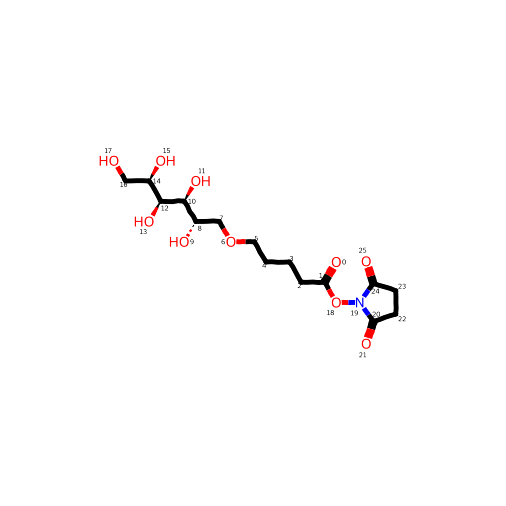 O=C(CCCCOC[C@H](O)[C@H](O)[C@@H](O)[C@H](O)CO)ON1C(=O)CCC1=O